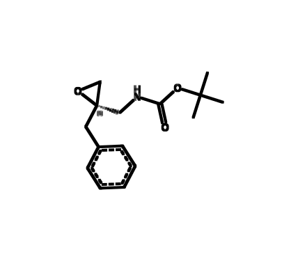 CC(C)(C)OC(=O)NC[C@@]1(Cc2ccccc2)CO1